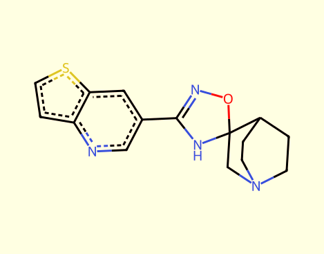 c1cc2ncc(C3=NOC4(CN5CCC4CC5)N3)cc2s1